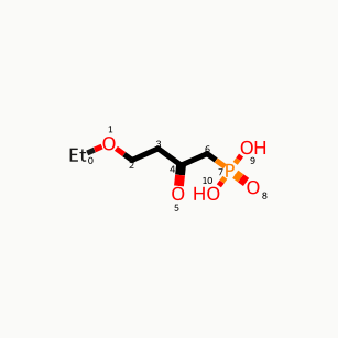 CCOCCC(=O)CP(=O)(O)O